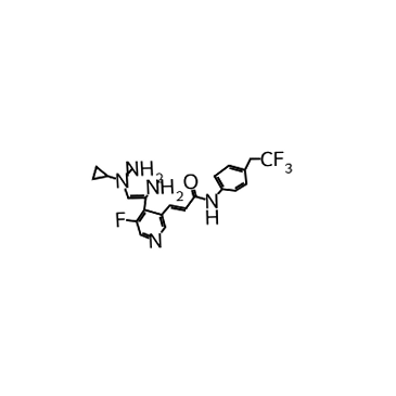 N/C(=C\N(N)C1CC1)c1c(F)cncc1/C=C/C(=O)Nc1ccc(CC(F)(F)F)cc1